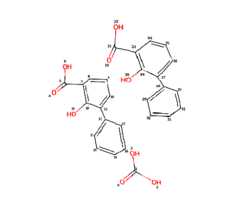 O=C(O)O.O=C(O)c1cccc(-c2ccccc2)c1O.O=C(O)c1cccc(-c2ccccc2)c1O